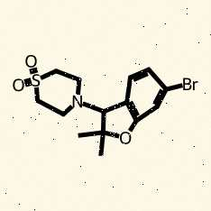 CC1(C)Oc2cc(Br)ccc2C1N1CCS(=O)(=O)CC1